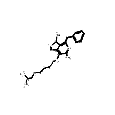 Cc1nc(Cc2ccccc2)c2c(c1OCCCCNCC(C)C)COC2O